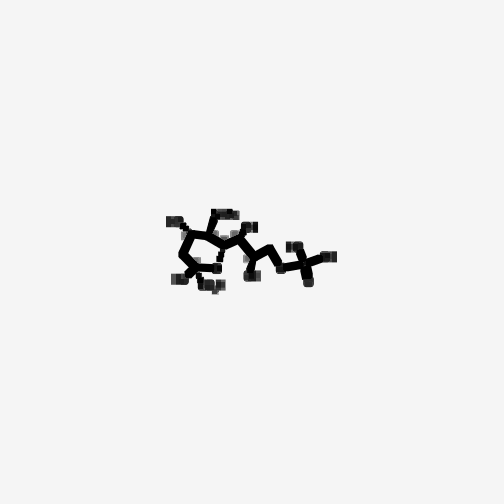 CC(=O)N[C@H]1[C@H]([C@H](O)[C@H](O)COP(=O)(O)O)O[C@](O)(C(=O)O)C[C@@H]1O